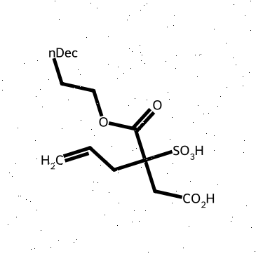 C=CCC(CC(=O)O)(C(=O)OCCCCCCCCCCCC)S(=O)(=O)O